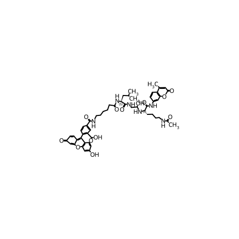 CC(=O)NCCCC[C@H](NC(O)CNC(=O)[C@H](CC(C)C)NC(=O)CCCCCNC(=O)c1ccc(-c2c3ccc(=O)cc-3oc3cc(O)ccc23)c(C(=O)O)c1)C(=O)Nc1ccc2c(C)cc(=O)oc2c1